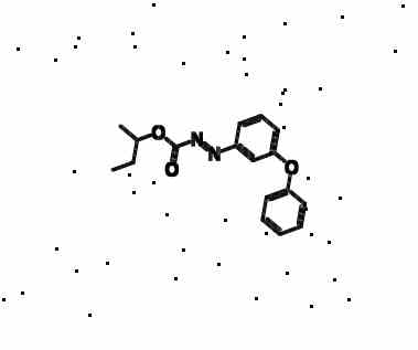 CCC(C)OC(=O)N=Nc1cccc(Oc2ccccc2)c1